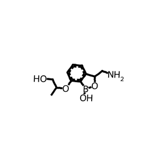 CC(CO)Oc1cccc2c1B(O)OC2CN